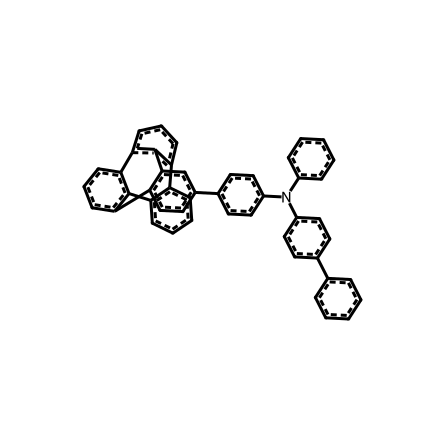 c1ccc(-c2ccc(N(c3ccccc3)c3ccc(-c4ccc5c(c4)-c4c6cccc4-c4cccc-5c4-c4ccccc4-6)cc3)cc2)cc1